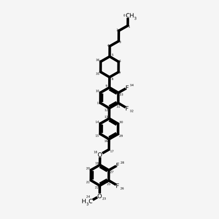 CCCCCC1CCC(c2ccc(-c3ccc(COc4ccc(OC)c(F)c4F)cc3)c(F)c2F)CC1